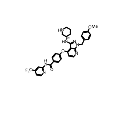 COc1ccc(Cn2nc(N[C@@H]3CCCNC3)c3c(Oc4ccc(C(=O)Nc5cc(C(F)(F)F)ccn5)cc4)ccnc32)cc1